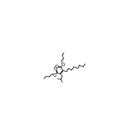 CCCCCCCC/C(C(=O)OCCCC)=C(\CC(C)C)C(=O)OCCCC